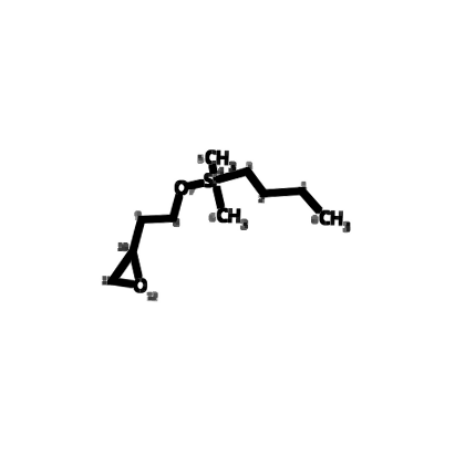 CCCC[Si](C)(C)OCCC1CO1